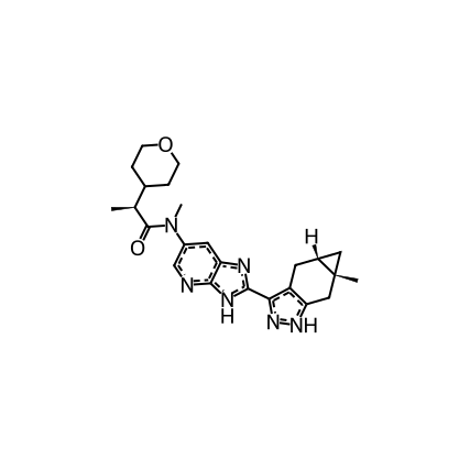 C[C@H](C(=O)N(C)c1cnc2[nH]c(-c3n[nH]c4c3C[C@@H]3C[C@]3(C)C4)nc2c1)C1CCOCC1